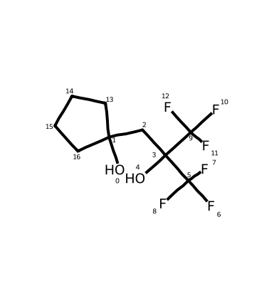 OC1(CC(O)(C(F)(F)F)C(F)(F)F)CCCC1